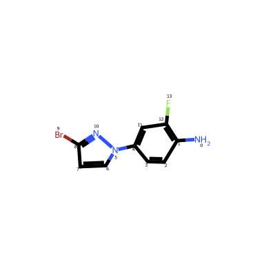 Nc1ccc(-n2ccc(Br)n2)cc1F